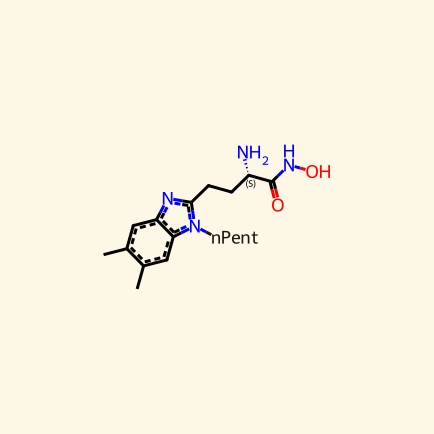 CCCCCn1c(CC[C@H](N)C(=O)NO)nc2cc(C)c(C)cc21